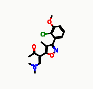 COc1cccc(-c2noc(/C(=C/N(C)C)C(C)=O)c2C)c1Cl